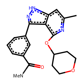 CNC(=O)c1cccc(-c2n[nH]c3cc(C)nc(OC4CCOCC4)c23)c1